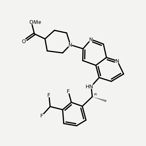 COC(=O)C1CCN(c2cc3c(N[C@H](C)c4cccc(C(F)F)c4F)ccnc3cn2)CC1